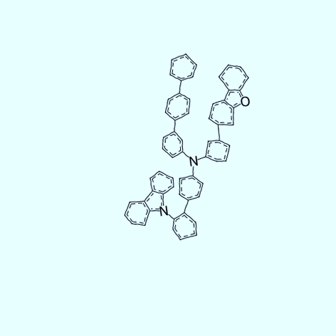 c1ccc(-c2ccc(-c3cccc(N(c4ccc(-c5ccccc5-n5c6ccccc6c6ccccc65)cc4)c4cccc(-c5ccc6c(c5)oc5ccccc56)c4)c3)cc2)cc1